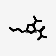 CCCC[C@H]1C[C@@H](C(=O)C(C)C)N(C(C)C)C1